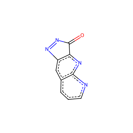 O=C1N=Nc2cc3cccnc3nc21